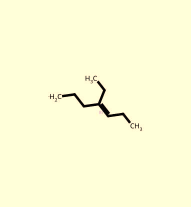 [CH2]CC/C(=C/CC)CC